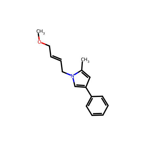 COCC=CCn1cc(-c2ccccc2)cc1C